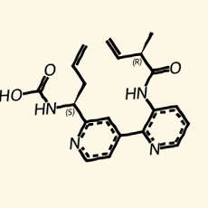 C=CC[C@H](NC(=O)O)c1cc(-c2ncccc2NC(=O)[C@H](C)C=C)ccn1